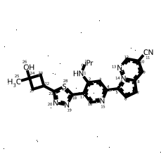 CC(C)Nc1cc(-c2ccc3cc(C#N)cnn23)ncc1-c1nnc(C2CC(C)(O)C2)s1